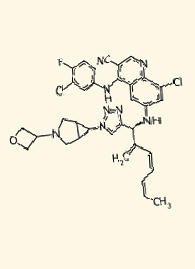 C=C(/C=C\C=C/C)[C@H](Nc1cc(Cl)c2ncc(C#N)c(Nc3ccc(F)c(Cl)c3)c2c1)c1cn(C2C3CN(C4COC4)CC32)nn1